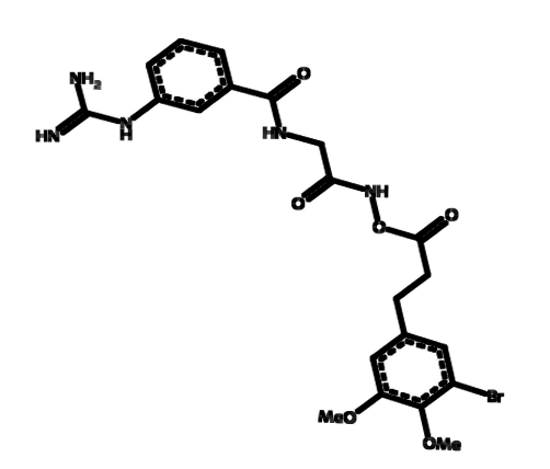 COc1cc(CCC(=O)ONC(=O)CNC(=O)c2cccc(NC(=N)N)c2)cc(Br)c1OC